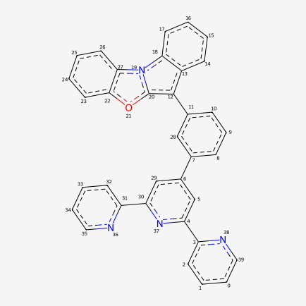 c1ccc(-c2cc(-c3cccc(-c4c5ccccc5n5c4oc4ccccc45)c3)cc(-c3ccccn3)n2)nc1